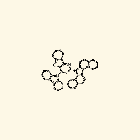 c1ccc2c(c1)ccc1c2c2ccc3ccccc3c2n1-c1nc(-n2c3ccccc3c3ccccc32)c2oc3ccccc3c2n1